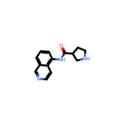 O=C(Nc1cccc2cnccc12)C1CCNC1